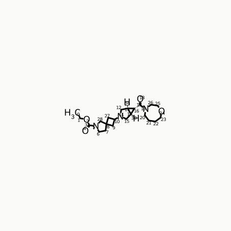 CCOC(=O)N1CCC2(CC(N3C[C@@H]4[C@H](C3)[C@H]4C(=O)N3CCCCOCC3)C2)C1